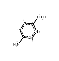 Nc1nnc(C(=O)O)nn1